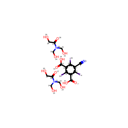 N#Cc1c(I)c(C(=O)O)c(I)c(C(=O)O)c1I.O=C(CO)N(CO)CO.O=C(CO)N(CO)CO